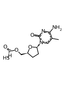 Cc1cn([C@H]2CC[C@@H](CO[PH](=O)S)O2)c(=O)nc1N